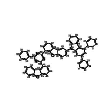 C1=CCC(c2cc(-c3ccccc3)cc3c2c2ccccc2n3-c2ccc3oc4c(-c5nc(-c6ccccc6)nc(-c6cccc7oc8ccccc8c67)n5)cccc4c3c2)C=C1